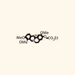 CCOC(=O)COc1cc2c(cc1OC)[C@H]1Cc3ccc(OC)c(OC)c3CN1CC2